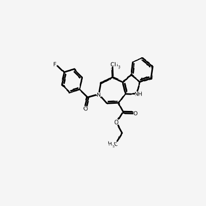 CCOC(=O)C1=CN(C(=O)c2ccc(F)cc2)CC(C)c2c1[nH]c1ccccc21